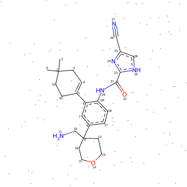 CC1(C)CC=C(c2cc(C3(CN)CCOCC3)ccc2NC(=O)c2nc(C#N)c[nH]2)CC1